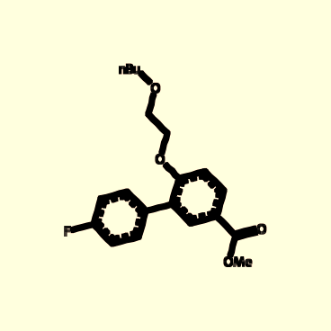 CCCCOCCOc1ccc(C(=O)OC)cc1-c1ccc(F)cc1